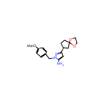 COc1ccc(Cn2nc(C3CCC4(C3)OCCO4)cc2N)cc1